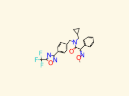 CO/N=C(\C(=O)N(Cc1ccc(-c2noc(C(F)(F)F)n2)cc1)CC1CC1)c1ccccc1